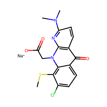 CSc1c(Cl)ccc2c(=O)c3ccc(N(C)C)nc3n(CC(=O)[O-])c12.[Na+]